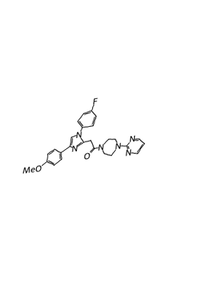 COc1ccc(-c2cn(-c3ccc(F)cc3)c(CC(=O)N3CCN(c4ncccn4)CC3)n2)cc1